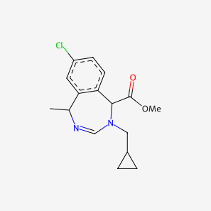 COC(=O)C1c2ccc(Cl)cc2C(C)N=CN1CC1CC1